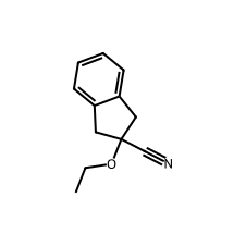 CCOC1(C#N)Cc2ccccc2C1